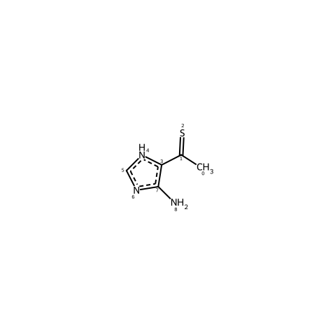 CC(=S)c1[nH]cnc1N